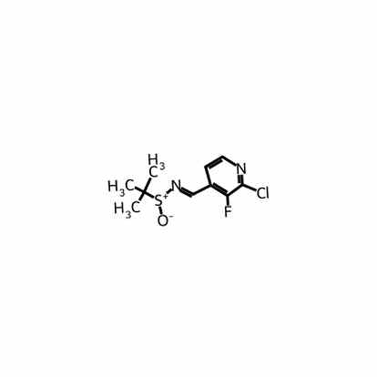 CC(C)(C)[S+]([O-])N=Cc1ccnc(Cl)c1F